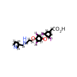 O=C(O)Cc1cc(I)c(Oc2cc(I)c(OCCCNCc3cccnc3)c(I)c2)c(I)c1